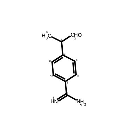 CC([C]=O)c1ccc(C(=N)N)cc1